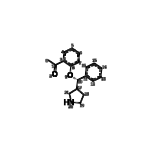 CC(=O)c1ccccc1O[C@H](c1ccccc1)C1CCNC1